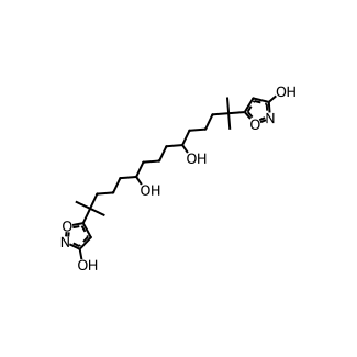 CC(C)(CCCC(O)CCCC(O)CCCC(C)(C)c1cc(O)no1)c1cc(O)no1